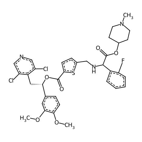 COc1ccc([C@H](Cc2c(Cl)cncc2Cl)OC(=O)c2ccc(CNC(C(=O)OC3CCN(C)CC3)c3ccccc3F)s2)cc1OC